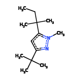 CCC(C)(C)c1cc(C(C)(C)C)nn1C